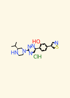 CC(C)[C@H]1CN(c2ncc(-c3ccc(-c4cnsc4)cc3O)nn2)CCN1.Cl